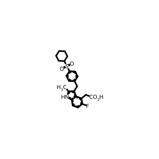 Cc1[nH]c2ccc(F)c(CC(=O)O)c2c1Cc1ccc(S(=O)(=O)C2CCCCC2)cc1